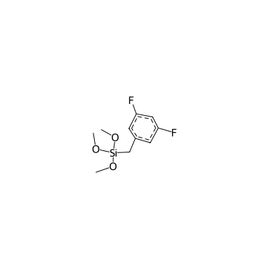 CO[Si](Cc1cc(F)cc(F)c1)(OC)OC